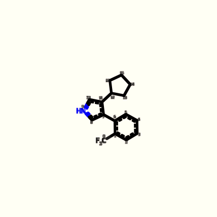 FC(F)(F)c1ccccc1-c1c[nH]cc1C1CCCC1